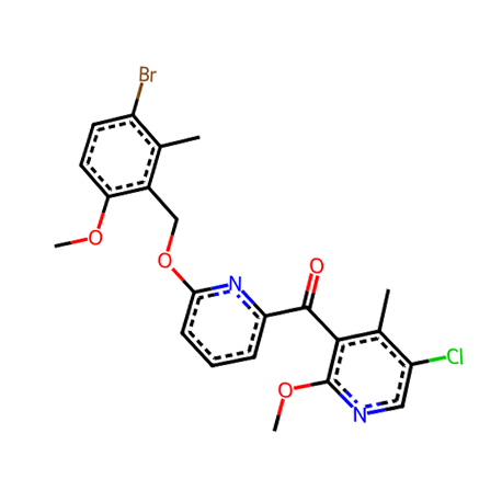 COc1ccc(Br)c(C)c1COc1cccc(C(=O)c2c(OC)ncc(Cl)c2C)n1